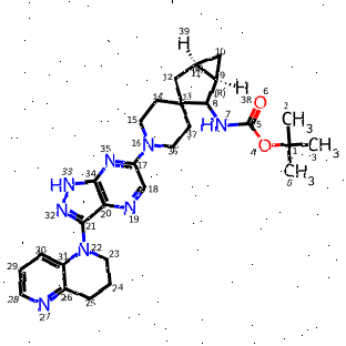 CC(C)(C)OC(=O)NC1[C@@H]2C[C@@H]2CC12CCN(c1cnc3c(N4CCCc5ncccc54)n[nH]c3n1)CC2